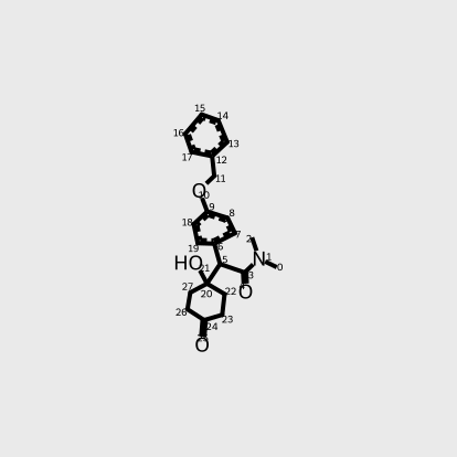 CN(C)C(=O)C(c1ccc(OCc2ccccc2)cc1)C1(O)CCC(=O)CC1